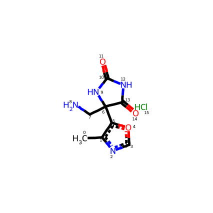 Cc1ncoc1C1(CN)NC(=O)NC1=O.Cl